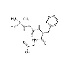 CC(C)(C)NCC(=O)N[C@@H](Cc1ccccc1)C(=O)NCC(=O)O